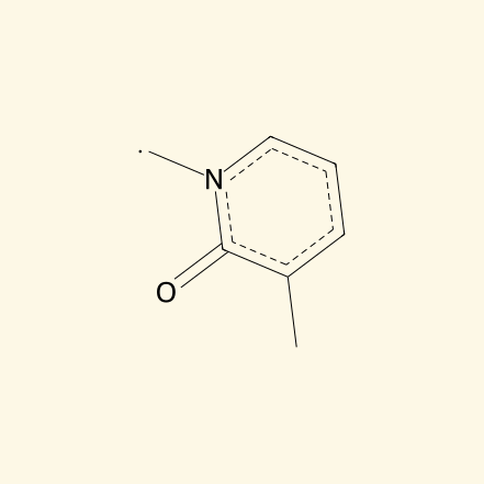 [CH2]n1cccc(C)c1=O